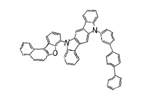 c1ccc(-c2ccc(-c3cccc(-n4c5ccccc5c5cc6c(cc54)c4ccccc4n6-c4cccc5c4oc4ccc6ccccc6c45)c3)cc2)cc1